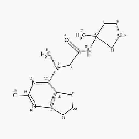 CN(CC(=O)NC1(C)CCOC1)c1nc(Cl)nc2c1CCC2